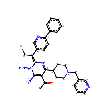 CC(=O)C1=C(N)N(N)/C(=C(\CI)c2ccc(-c3ccccc3)nc2)N=C1C1CCN(Cc2cccnc2)CC1